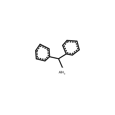 [AlH3].[CH2]C(c1ccccc1)c1ccccc1